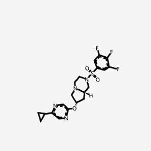 O=S(=O)(c1cc(F)c(F)c(F)c1)N1CCN2C[C@@H](Oc3cnc(C4CC4)cn3)C[C@H]2C1